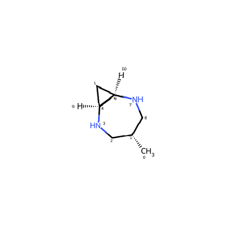 C[C@@H]1CN[C@H]2C[C@H]2NC1